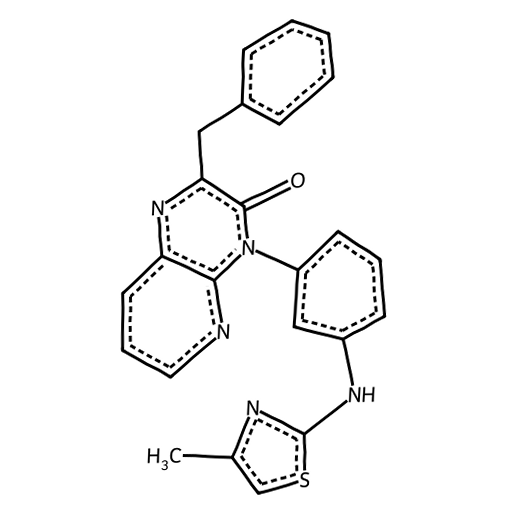 Cc1csc(Nc2cccc(-n3c(=O)c(Cc4ccccc4)nc4cccnc43)c2)n1